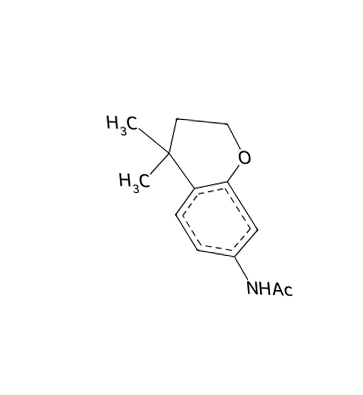 CC(=O)Nc1ccc2c(c1)OCCC2(C)C